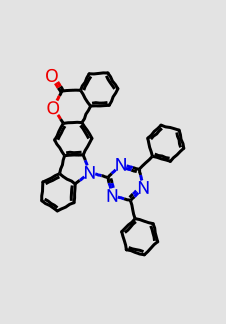 O=c1oc2cc3c4ccccc4n(-c4nc(-c5ccccc5)nc(-c5ccccc5)n4)c3cc2c2ccccc12